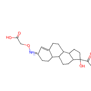 CC(=O)C1(O)CCC2C3CCC4=C/C(=N\OCC(=O)O)CCC4C3CCC21